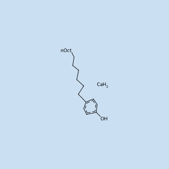 CCCCCCCCCCCCCCc1ccc(O)cc1.[CaH2]